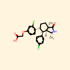 C[C@H]1NC(=O)[C@]2(C)CC[C@@H](c3ccc(OCC(=O)O)cc3Cl)[C@H](c3ccc(Cl)cc3)[C@H]12